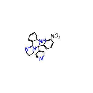 O=[N+]([O-])c1cccc(C2(c3ccncc3)Nc3ccccc3C3=NCCCN32)c1